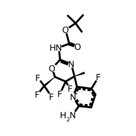 CC(C)(C)OC(=O)NC1=N[C@](C)(c2nc(N)ccc2F)C(F)(F)[C@@H](C(F)(F)F)O1